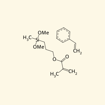 C=C(C)C(=O)OCCC[Si](C)(OC)OC.C=Cc1ccccc1